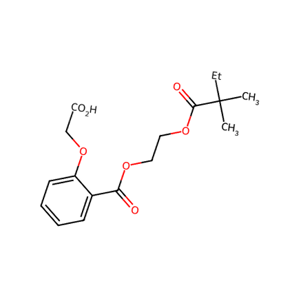 CCC(C)(C)C(=O)OCCOC(=O)c1ccccc1OCC(=O)O